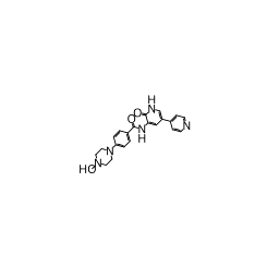 O=C(Nc1cc(-c2ccncc2)c[nH]c1=O)c1ccc(N2CCN(O)CC2)cc1